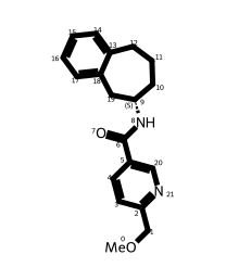 COCc1ccc(C(=O)N[C@H]2CCCc3ccccc3C2)cn1